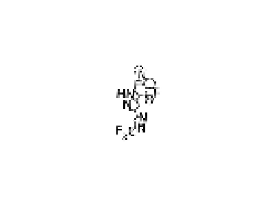 O=C(c1c(F)ccc(N2CCCC2)c1F)c1c[nH]c2ncc(-c3cc(C(F)(F)F)ncn3)cc12